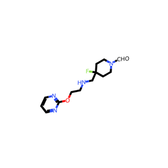 O=CN1CCC(F)(CNCCOc2ncccn2)CC1